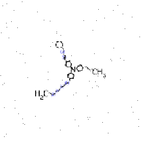 C=C\C=C/C=C/C=C/C=C/c1ccc(N(c2ccc(/C=C/C=C/C3CCCCC3)cc2)c2ccc(CCCC)cc2)cc1